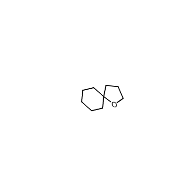 C1CCC2(CC1)CCCO2